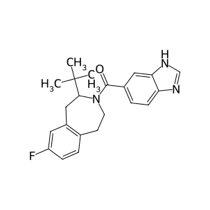 CC(C)(C)C1Cc2cc(F)ccc2CCN1C(=O)c1ccc2nc[nH]c2c1